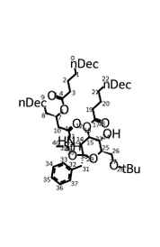 CCCCCCCCCCCCCC(=O)O[C@H](CCCCCCCCCCC)CC(=O)N[C@@H]1[C@@H](OC(=O)CCCCCCCCCCCCC)[C@H](O)[C@@H](COC(C)(C)C)O[C@@]1(Cc1ccccc1)O[SiH](C)C